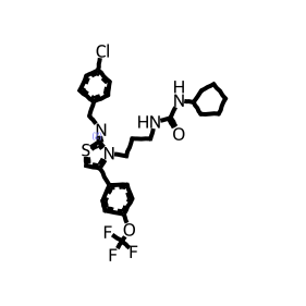 O=C(NCCCn1c(-c2ccc(OC(F)(F)F)cc2)cs/c1=N\Cc1ccc(Cl)cc1)NC1CCCCC1